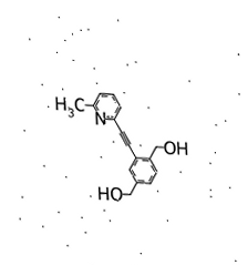 Cc1cccc(C#Cc2cc(CO)ccc2CO)n1